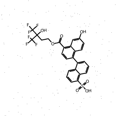 O=C(OCCC(O)(C(F)(F)F)C(F)(F)F)c1ccc(-c2cccc3c(S(=O)(=O)O)cccc23)c2ccc(O)cc12